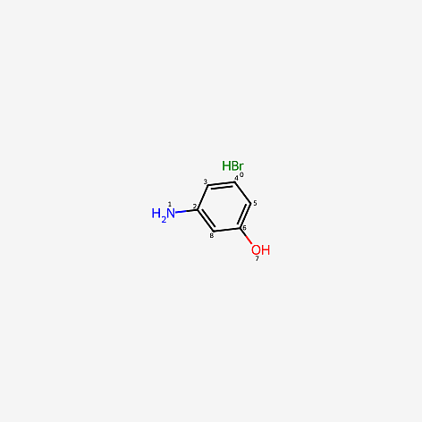 Br.Nc1cccc(O)c1